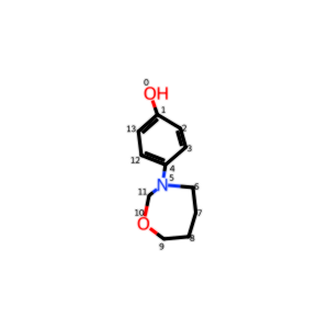 Oc1ccc(N2CCCCOC2)cc1